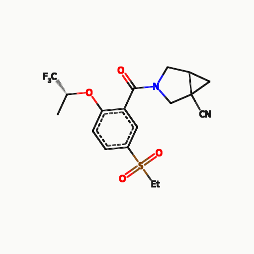 CCS(=O)(=O)c1ccc(O[C@H](C)C(F)(F)F)c(C(=O)N2CC3CC3(C#N)C2)c1